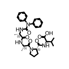 CC(C)[C@H](NC(=O)[C@@H]1CCCN1C(=O)[C@H](C)NC(=O)[C@H](C)NC(=O)N(c1ccccc1)c1ccccc1)C(=O)O